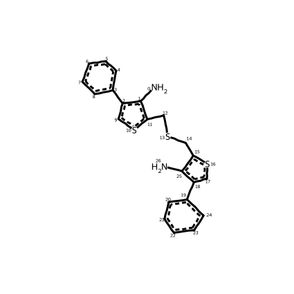 Nc1c(-c2ccccc2)csc1CSCc1scc(-c2ccccc2)c1N